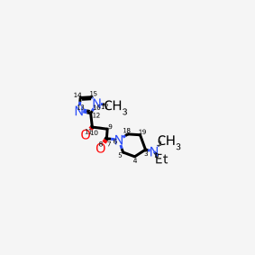 CCN(C)C1CCN(C(=O)CC(=O)c2nccn2C)CC1